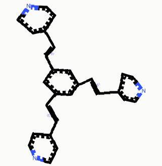 C(=C\c1cc(/C=C/c2ccncc2)cc(/C=C/c2ccncc2)c1)/c1ccncc1